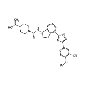 C=C(O)C1CCN(C(=O)N[C@H]2CCc3c(-c4noc(-c5ccc(OC(C)C)c(C#N)c5)n4)cccc32)CC1